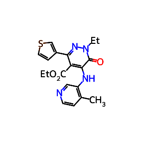 CCOC(=O)c1c(-c2ccsc2)nn(CC)c(=O)c1Nc1cnccc1C